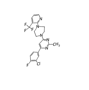 Cc1nc(-c2ccc(F)c(Cl)c2)cc(N2CCN(c3ncccc3C(F)(F)F)CC2)n1